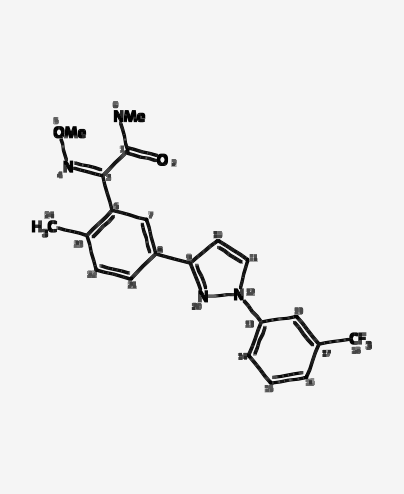 CNC(=O)C(=NOC)c1cc(-c2ccn(-c3cccc(C(F)(F)F)c3)n2)ccc1C